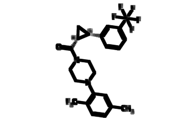 Cc1ccc(C(F)(F)F)c(N2CCN(C(=O)[C@@H]3C[C@@H]3c3cccc(S(F)(F)(F)(F)F)c3)CC2)c1